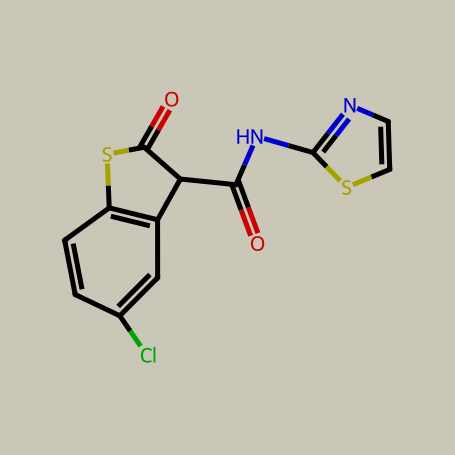 O=C(Nc1nccs1)C1C(=O)Sc2ccc(Cl)cc21